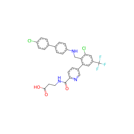 O=C(O)CCNC(=O)c1ccc(-c2cc(C(F)(F)F)cc(Cl)c2CNc2ccc(-c3ccc(Cl)cc3)cc2)cn1